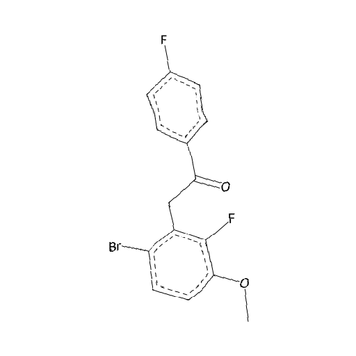 COc1ccc(Br)c(CC(=O)c2ccc(F)cc2)c1F